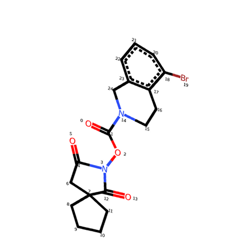 O=C(ON1C(=O)CC2(CCCC2)C1=O)N1CCc2c(Br)cccc2C1